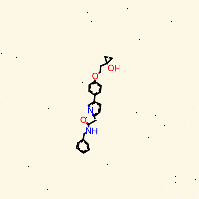 O=C(Cc1ccc(-c2ccc(OCCC3(O)CC3)cc2)cn1)NCc1ccccc1